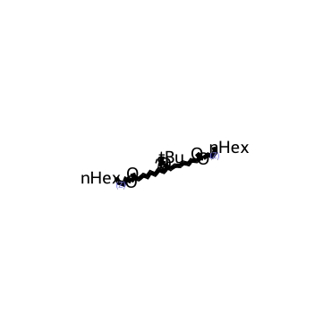 CCCCCC/C=C\COC(=O)CCCCCCCC(CCCCCCCC(=O)OC/C=C\CCCCCC)O[Si](C)(C)C(C)(C)C